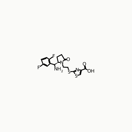 NC(c1cc(F)ccc1F)[C@H]1CCC(=O)N1CCSc1nc(C(=O)O)cs1